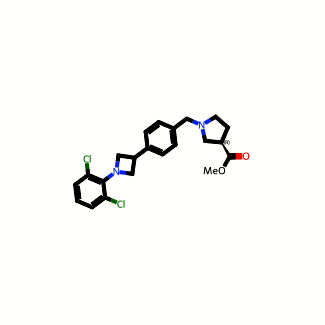 COC(=O)[C@@H]1CCN(Cc2ccc(C3CN(c4c(Cl)cccc4Cl)C3)cc2)C1